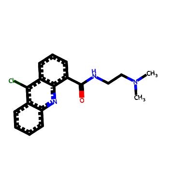 CN(C)CCNC(=O)c1cccc2c(Cl)c3ccccc3nc12